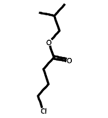 CC(C)COC(=O)CCCCl